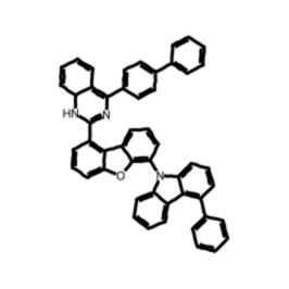 C1=CC2=C(c3ccc(-c4ccccc4)cc3)N=C(c3cccc4oc5c(-n6c7ccccc7c7c(-c8ccccc8)cccc76)cccc5c34)NC2C=C1